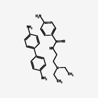 CCN(CC)CCNC(=O)c1ccc(N)cc1.Nc1ccc(-c2ccc(N)cc2)cc1